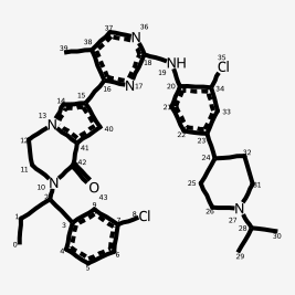 CCC(c1cccc(Cl)c1)N1CCn2cc(-c3nc(Nc4ccc(C5CCN(C(C)C)CC5)cc4Cl)ncc3C)cc2C1=O